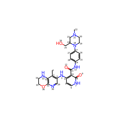 Cc1c(Nc2cc[nH]c(=O)c2C(=O)Nc2ccc(N3CCN(C)CC3CO)cc2)cnc2c1NCCO2